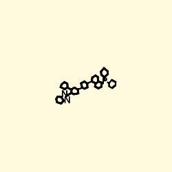 C1=CCC(P(c2ccccc2)c2cccc3c(-c4ccc(-c5ccc6c(c5)c5ccccc5n5c7ccccc7nc65)cc4)cccc23)C=C1